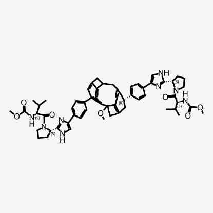 COC(=O)N[C@H](C(=O)N1CCC[C@H]1c1nc(-c2ccc(-c3cc4c5cc3C3(OC)CC6=C3C=C(CC5C4)[C@H](c3ccc(-c4c[nH]c([C@@H]5CCCN5C(=O)[C@@H](NC(=O)OC)C(C)C)n4)cc3)C6)cc2)c[nH]1)C(C)C